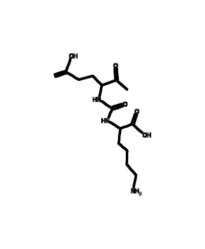 C=C(O)CCC(NC(=O)NC(CCCCN)C(=O)O)C(C)=O